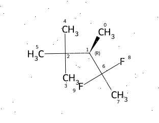 C[C@H](C(C)(C)C)C(C)(F)F